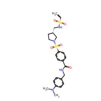 C=CS(=O)(=O)NC[C@H]1CCN(S(=O)(=O)c2ccc(C(=O)NCc3ccc(N(C)C)cc3)cc2)C1